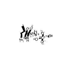 C=CC=C.N.N.N.N=C=O.N=C=O.[O-][Cl+3]([O-])([O-])O